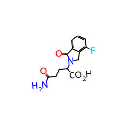 NC(=O)CCC(C(=O)O)N1Cc2c(F)cccc2C1=O